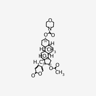 CC(=O)O[C@H]1C[C@]2(O)[C@@H]3CC[C@@H]4C[C@@H](OC(=O)N5CCOCC5)CC[C@]4(C)[C@H]3CC[C@]2(C)[C@H]1c1ccc(=O)oc1